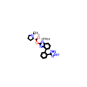 CCCCCCn1c(OC(=O)[C@@H]2CCCN2C)nc2c(-c3ccccc3-c3nn[nH]n3)cccc21